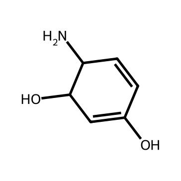 NC1C=CC(O)=CC1O